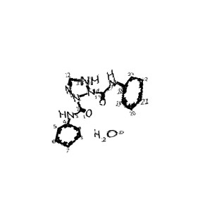 O.O=C(Nc1ccccc1)N1N=CNN1C(=O)Nc1ccccc1